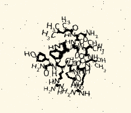 CC(C)C[C@H](C)C(=O)N[C@@H](CC(N)=O)C(=O)N[C@@H](Cc1c[nH]c2ccccc12)C(=O)N[C@H](C(=O)N[C@H](C(=O)N[C@@H](CCCNC(=N)N)C(=O)N[C@@H](CCC(N)=O)C(=O)N(C)[C@@H](CCCNC(=N)N)C(=O)N[C@@H](Cc1ccc(O)cc1)C(N)=O)[C@@H](C)O)C(C)C